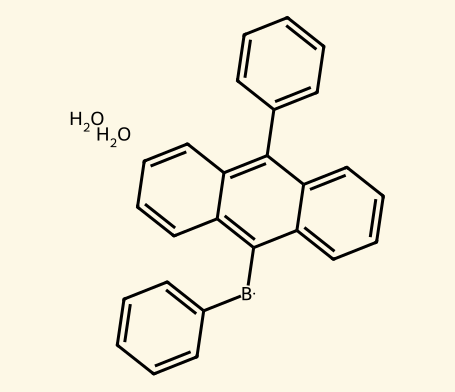 O.O.[B](c1ccccc1)c1c2ccccc2c(-c2ccccc2)c2ccccc12